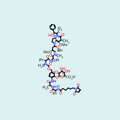 CC[C@H](C)[C@@H]([C@@H](CC(=O)N1CCC[C@H]1[C@H](OC)[C@@H](C)C(=O)N[C@H](C)[C@@H](O)c1ccccc1)OC)N(C)C(=O)[C@@H](NC(=O)[C@H](C(C)C)N(C)C(=O)OCc1ccc(NC(=O)[C@H](C)NC(=O)[C@@H](NC(=O)CCCCCN2C(=O)C=CC2=O)C(C)C)c(O[C@@H]2O[C@H](C(=O)O)[C@@H](O)[C@H](O)[C@H]2O)c1)C(C)C